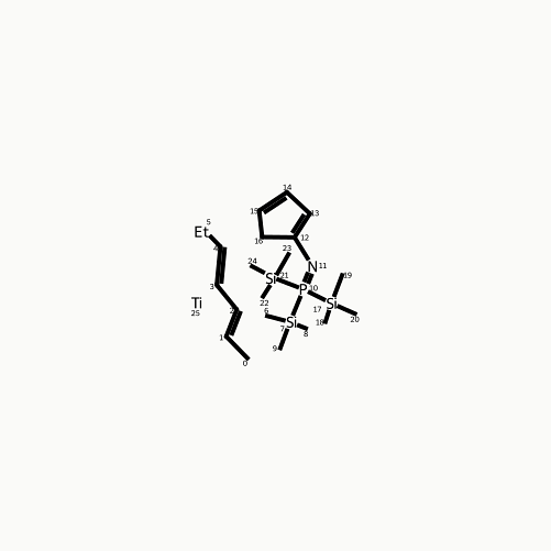 CC=CC=CCC.C[Si](C)(C)P(=NC1=CC=CC1)([Si](C)(C)C)[Si](C)(C)C.[Ti]